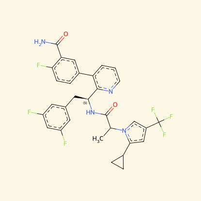 CC(C(=O)N[C@@H](Cc1cc(F)cc(F)c1)c1ncccc1-c1ccc(F)c(C(N)=O)c1)n1cc(C(F)(F)F)cc1C1CC1